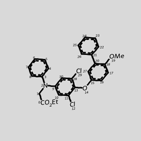 CCOC(=O)CN(c1ccccc1)c1cc(Cl)c(Oc2ccc(OC)c(-c3ccccc3)c2)c(Cl)c1